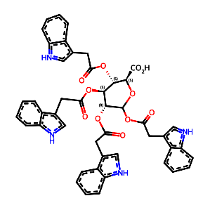 O=C(Cc1c[nH]c2ccccc12)OC1O[C@H](C(=O)O)[C@@H](OC(=O)Cc2c[nH]c3ccccc23)[C@H](OC(=O)Cc2c[nH]c3ccccc23)[C@H]1OC(=O)Cc1c[nH]c2ccccc12